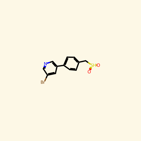 O=[SH](=O)Cc1ccc(-c2cncc(Br)c2)cc1